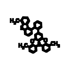 Cc1cccc2c1Oc1cc(-c3ccccc3-c3cccc4sc5c(C)cccc5c34)cc3c1B2c1cccc(C)c1O3